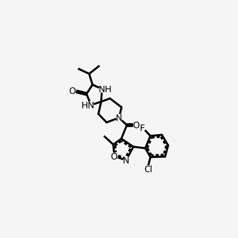 Cc1onc(-c2c(F)cccc2Cl)c1C(=O)N1CCC2(CC1)NC(=O)C(C(C)C)N2